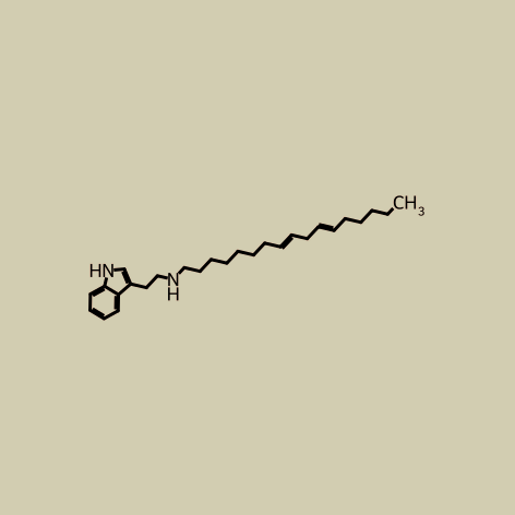 CCCCCC=CCC=CCCCCCCCNCCc1c[nH]c2ccccc12